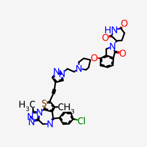 Cc1c(C#Cc2cnn(CCN3CCC(Oc4cccc5c4CN(C4CCC(=O)NC4=O)C5=O)CC3)c2)sc2c1C(c1ccc(Cl)cc1)=NCc1nnc(C)n1-2